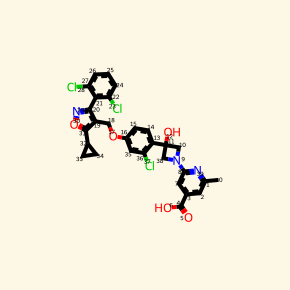 Cc1cc(C(=O)O)cc(N2CC(O)(c3ccc(OCc4c(-c5c(Cl)cccc5Cl)noc4C4CC4)cc3Cl)C2)n1